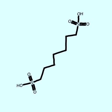 O=S(=O)(O)CC[CH]CCCCS(=O)(=O)O